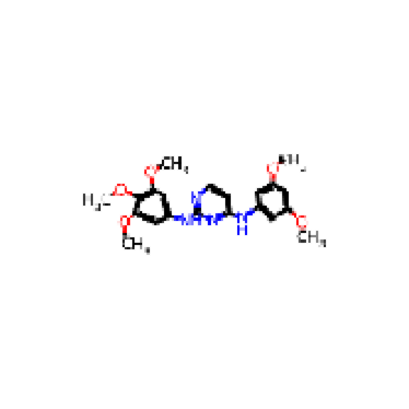 COc1cc(Nc2ccnc(Nc3cc(OC)c(OC)c(OC)c3)n2)cc(OC)c1